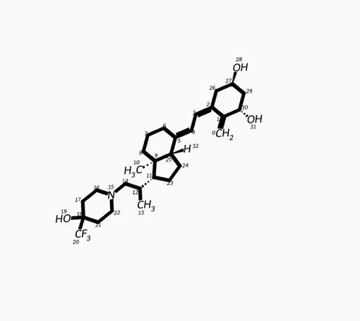 C=C1C(=CC=C2CCC[C@]3(C)[C@@H](C(C)CN4CCC(O)(C(F)(F)F)CC4)CC[C@@H]23)C[C@@H](O)C[C@@H]1O